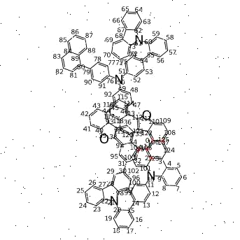 c1ccc(-c2ccccc2N(c2ccc(-c3ccccc3-n3c4ccccc4c4cc(-c5ccc6ccc7c(oc8cccc(-c9cccc(N(c%10ccc(-c%11ccccc%11-n%11c%12ccccc%12c%12ccccc%12%11)cc%10)c%10ccc(-c%11cccc%12ccccc%11%12)cc%10)c9)c87)c6c5)ccc43)cc2)c2cccc(-c3cccc4oc5c6ccccc6ccc5c34)c2)cc1